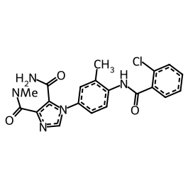 CNC(=O)c1ncn(-c2ccc(NC(=O)c3ccccc3Cl)c(C)c2)c1C(N)=O